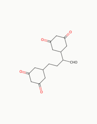 O=CC(CCC1CC(=O)CC(=O)C1)C1CC(=O)CC(=O)C1